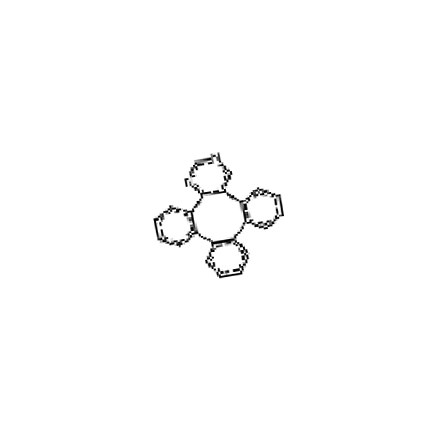 c1ccc2c(c1)-c1ccccc1-c1cncnc1-c1ccccc1-2